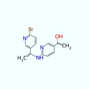 C=C(O)c1ccc(NC(=C)c2ccc(Br)nc2)nc1